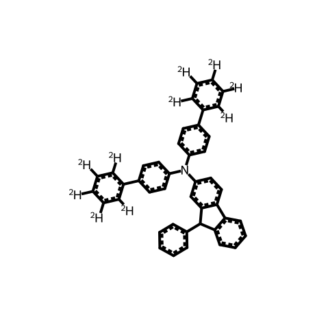 [2H]c1c([2H])c([2H])c(-c2ccc(N(c3ccc(-c4c([2H])c([2H])c([2H])c([2H])c4[2H])cc3)c3ccc4c(c3)C(c3ccccc3)c3ccccc3-4)cc2)c([2H])c1[2H]